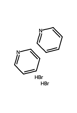 Br.Br.c1ccncc1.c1ccncc1